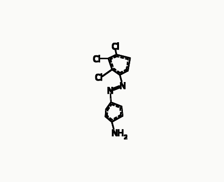 Nc1ccc(N=Nc2ccc(Cl)c(Cl)c2Cl)cc1